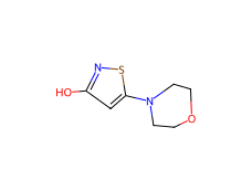 Oc1cc(N2CCOCC2)sn1